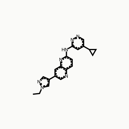 CCn1cc(-c2cnc3ccc(Nc4cc(C5CC5)cnn4)nc3c2)cn1